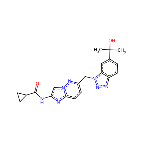 CC(C)(O)c1ccc2nnn(Cc3ccc4nc(NC(=O)C5CC5)cn4n3)c2c1